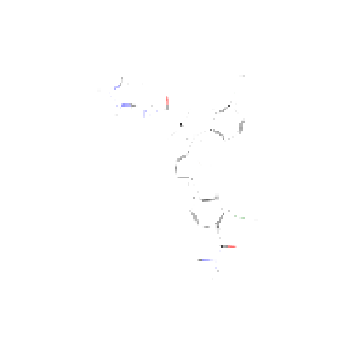 CCN(C)C(=O)c1ccc(-c2ccc([C@H](c3cccc(F)c3)C(C)(C)C(=O)Nc3nncs3)s2)cc1F